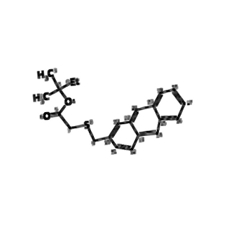 CCC(C)(C)OC(=O)CSCc1ccc2cc3ccccc3cc2c1